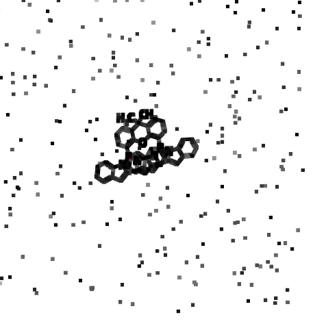 CC1(C)c2cccc(-p3n4c5ccccc5cc4c4cc5ccccc5n43)c2Oc2c(-p3n4c5ccccc5cc4c4cc5ccccc5n43)cccc21